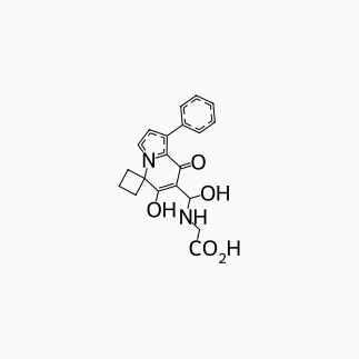 O=C(O)CNC(O)C1=C(O)C2(CCC2)n2ccc(-c3ccccc3)c2C1=O